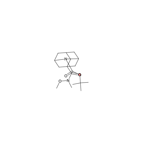 CON(C)C(=O)C12CC3CC(C1)N(C(=O)OC(C)(C)C)C(C3)C2